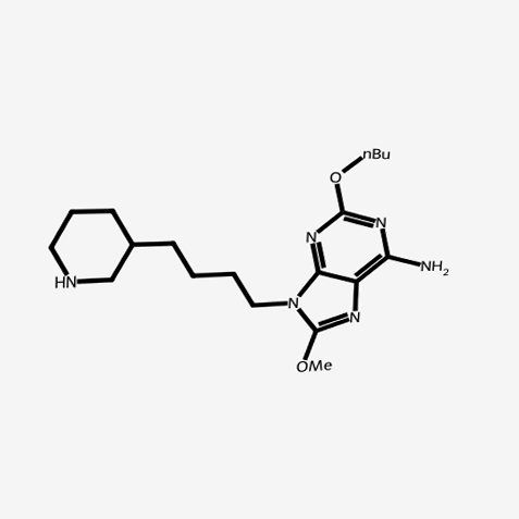 CCCCOc1nc(N)c2nc(OC)n(CCCCC3CCCNC3)c2n1